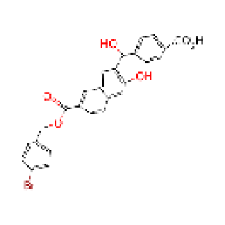 O=C(O)c1ccc(C(O)c2cc3cc(C(=O)OCc4ccc(Br)cc4)ccc3cc2O)cc1